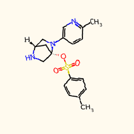 Cc1ccc(S(=O)(=O)O[C@@]23CN[C@H](CN2c2ccc(C)nc2)C3)cc1